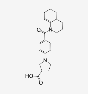 O=C(O)C1CCN(c2ccc(C(=O)N3CCCC4CCCC=C43)cc2)C1